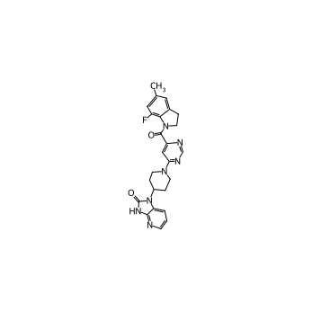 Cc1cc(F)c2c(c1)CCN2C(=O)c1cc(N2CCC(n3c(=O)[nH]c4ncccc43)CC2)ncn1